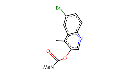 CNC(=O)Oc1cnc2ccc(Br)cc2c1C